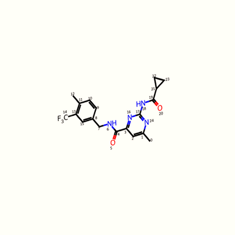 Cc1cc(C(=O)NCc2ccc(C)c(C(F)(F)F)c2)nc(NC(=O)C2CC2)n1